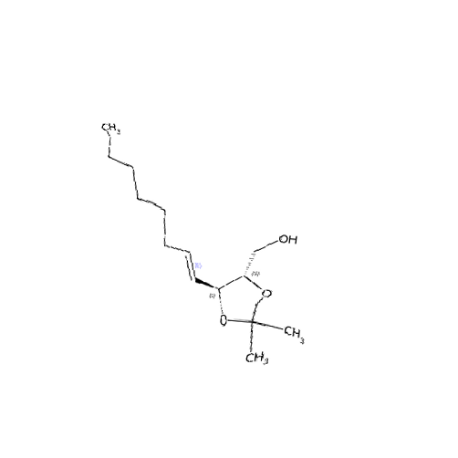 CCCCCC/C=C/[C@@H]1OC(C)(C)O[C@H]1CO